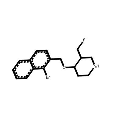 FCC1CNCCC1OCc1ccc2ccccc2c1Br